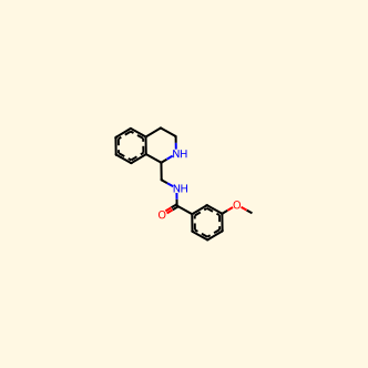 COc1cccc(C(=O)NCC2NCCc3ccccc32)c1